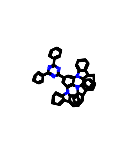 c1ccc(-c2nc(-c3ccccc3)nc(-c3cc(-n4c5ccccc5c5ccccc54)c(-n4c5ccccc5c5ccccc54)c(-n4c5ccccc5c5ccccc54)c3)n2)cc1